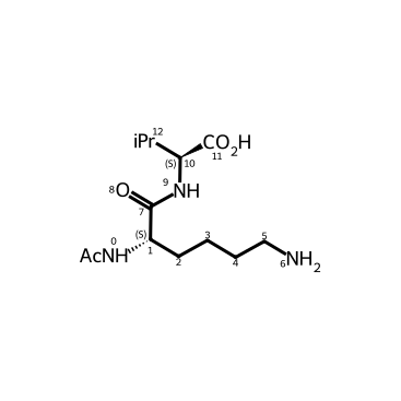 CC(=O)N[C@@H](CCCCN)C(=O)N[C@H](C(=O)O)C(C)C